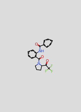 O=C(Nc1ccccc1C(=O)N1CCCC1C(=O)C(F)(F)F)c1ccccc1